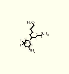 CCCCCC(CCCC)N1C[C@H](N)CC(F)(F)C1